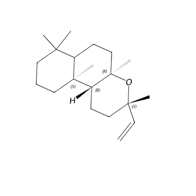 C=C[C@]1(C)CC[C@H]2[C@@](C)(CCC3C(C)(C)CCC[C@@]32C)O1